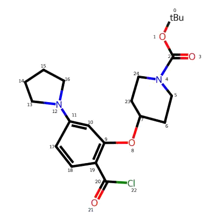 CC(C)(C)OC(=O)N1CCC(Oc2cc(N3CCCC3)ccc2C(=O)Cl)CC1